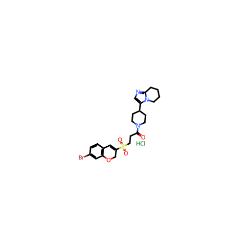 Cl.O=C(CCS(=O)(=O)C1=Cc2ccc(Br)cc2OC1)N1CCC(c2cnc3n2CCCC3)CC1